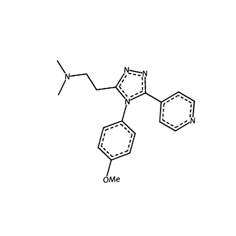 COc1ccc(-n2c(CCN(C)C)nnc2-c2ccncc2)cc1